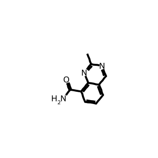 Cc1ncc2cccc(C(N)=O)c2n1